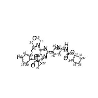 C[C@H]1COCCN1c1cc(C2(S(=O)(=O)c3ccc(F)cc3)CC2)nc(-c2ccc(NC(=O)Oc3ccccc3)nc2)n1